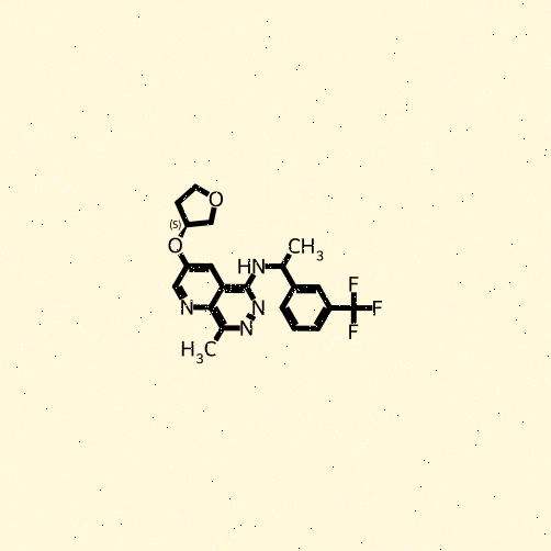 Cc1nnc(NC(C)c2cccc(C(F)(F)F)c2)c2cc(O[C@H]3CCOC3)cnc12